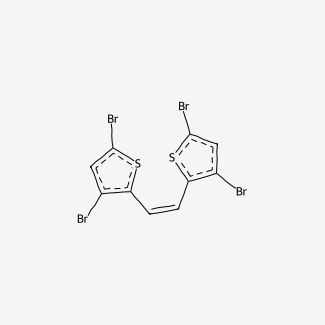 Brc1cc(Br)c(/C=C\c2sc(Br)cc2Br)s1